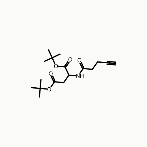 C#CCCC(=O)NC(CC(=O)OC(C)(C)C)C(=O)OC(C)(C)C